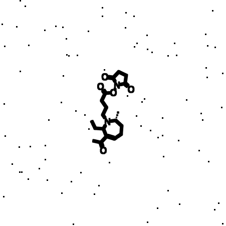 CCC1C(C(C)=O)=CCC[C@@H](C)N1CCCC(=O)ON1C(=O)CCC1=O